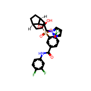 O=C(Nc1ccc(F)c(F)c1)c1ccc(Cl)c(S(=O)(=O)[C@@H]2C[C@H]3CC[C@@H](C2)[C@@]3(O)C(O)Cn2cccn2)c1